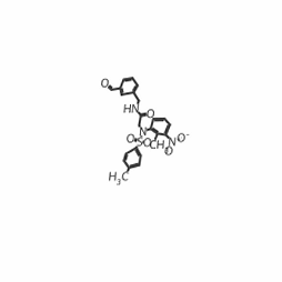 Cc1ccc(S(=O)(=O)N(CC(=O)NCc2cccc(C=O)c2)c2cccc([N+](=O)[O-])c2C)cc1